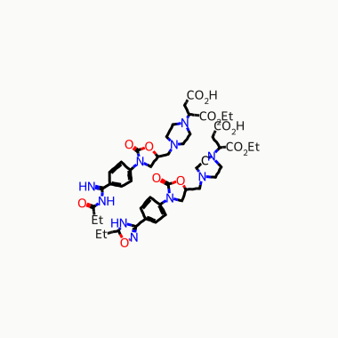 CCOC(=O)C(CC(=O)O)N1CCN(CC2CN(c3ccc(C(=N)NC(=O)CC)cc3)C(=O)O2)CC1.CCOC(=O)C(CC(=O)O)N1CCN(CC2CN(c3ccc(C4=NOC(CC)N4)cc3)C(=O)O2)CC1